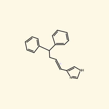 C(=C\c1c[nH]cn1)/CC(c1ccccc1)c1ccccc1